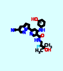 CC(C)(O)C(F)CNC(=O)c1cnc(-c2ccc3cc(C#N)cnn23)cc1N[C@H]1CCC[C@H](O)C1